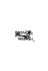 CCCCc1nc2c(N)nc3cc(P(=O)(CC)CC)ccc3c2n1OCCCCNc1c(NC)c(=O)c1=O